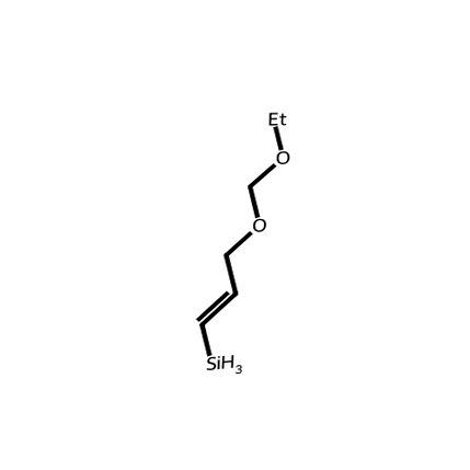 CCOCOCC=C[SiH3]